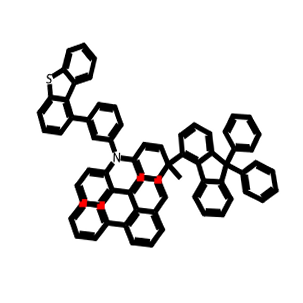 CC1(c2cccc3c2-c2ccccc2C3(c2ccccc2)c2ccccc2)C=CC(N(c2cccc(-c3cccc4sc5ccccc5c34)c2)c2ccccc2-c2cccc3cccc(-c4ccccc4)c23)=CC1